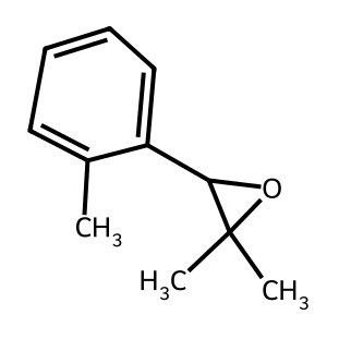 Cc1ccccc1C1OC1(C)C